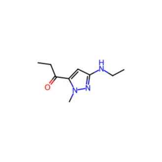 CCNc1cc(C(=O)CC)n(C)n1